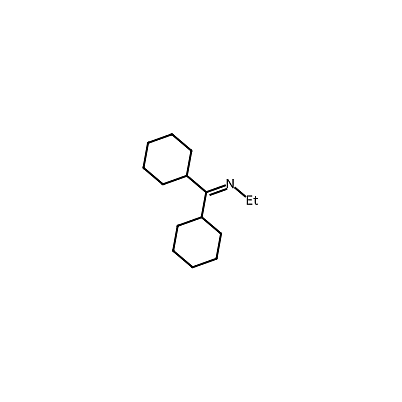 CCN=C(C1CCCCC1)C1CCCCC1